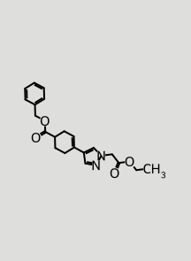 CCOC(=O)Cn1cc(C2=CCC(C(=O)OCc3ccccc3)CC2)cn1